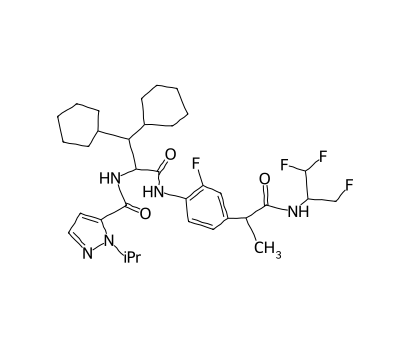 CC(C(=O)NC(CF)C(F)F)c1ccc(NC(=O)C(NC(=O)c2ccnn2C(C)C)C(C2CCCCC2)C2CCCCC2)c(F)c1